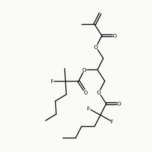 C=C(C)C(=O)OCC(COC(=O)C(F)(F)CCCC)OC(=O)C(C)(F)CCCC